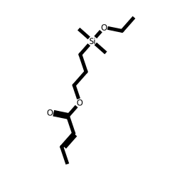 CC=CC(=O)OCCC[Si](C)(C)OCC